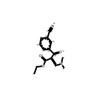 CCOC(=O)/C(=C/N(C)C)C(=O)c1cccc(C#N)c1